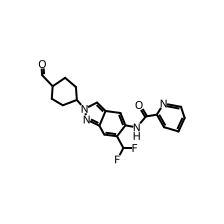 O=CC1CCC(n2cc3cc(NC(=O)c4ccccn4)c(C(F)F)cc3n2)CC1